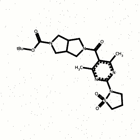 Cc1nc(N2CCCS2(=O)=O)nc(C)c1C(=O)N1CC2CN(C(=O)OC(C)(C)C)CC2C1